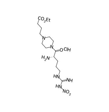 CCOC(=O)CCCN1CCN(C(=O)[C@@H](N)CCCNC(=N)N[N+](=O)[O-])CC1.Cl